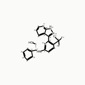 OC[C@H](Nc1ccc(C(F)(F)F)c(-c2n[nH]c3ncccc23)n1)c1ccccc1